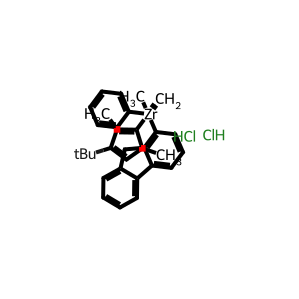 Cl.Cl.[CH2]=[Zr]([CH3])([C]1=C(C)C(C(C)(C)C)=CC1C)([c]1ccccc1)[c]1cccc2c1Cc1ccccc1-2